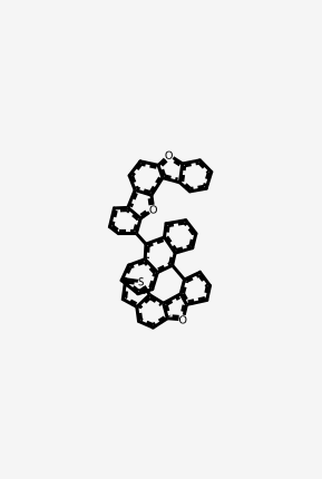 c1ccc2c(c1)oc1ccc3c4cccc(-c5c6ccccc6c(-c6cccc7oc8ccc9ccsc9c8c67)c6ccccc56)c4oc3c12